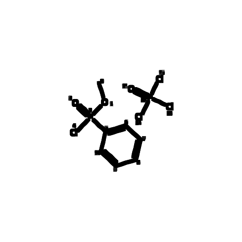 COP(=O)(Cl)c1ccccc1.O=P(Cl)(Cl)Cl